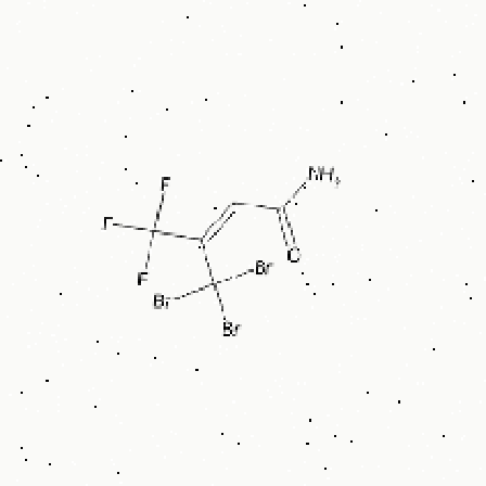 NC(=O)C=C(C(F)(F)F)C(Br)(Br)Br